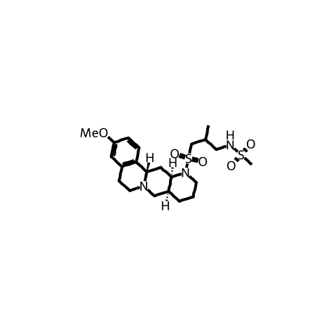 COc1ccc2c(c1)CCN1C[C@@H]3CCCN(S(=O)(=O)CC(C)CNS(C)(=O)=O)[C@@H]3C[C@@H]21